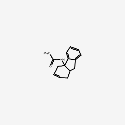 COC(=O)NC12CC=CCC1Cc1ccccc12